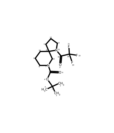 CC(C)(C)OC(=O)N1CCCC2(CCCN2C(=O)C(F)(F)F)C1